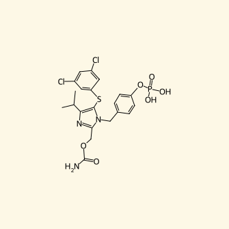 CC(C)c1nc(COC(N)=O)n(Cc2ccc(OP(=O)(O)O)cc2)c1Sc1cc(Cl)cc(Cl)c1